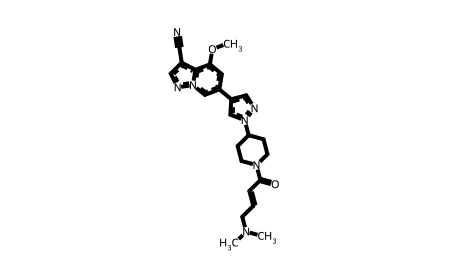 COc1cc(-c2cnn(C3CCN(C(=O)/C=C/CN(C)C)CC3)c2)cn2ncc(C#N)c12